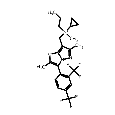 CCC[N+](C)(Cc1c(C)nn2c(-c3ccc(C(F)(F)F)cc3C(F)(F)F)c(C)oc12)C1CC1